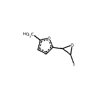 O=C(O)c1ccc(C2OC2I)o1